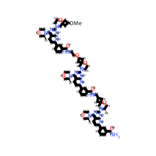 COC1CC2(C1)CN(c1nc(N3CCOC[C@@H]3C)c3ccc(-c4cccc(C(=O)NCCOC5CC6(C5)CN(c5nc(N7CCOC[C@@H]7C)c7ccc(-c8cccc(C(=O)NCC9CC%10(C9)CN(c9nc(N%11CCOC[C@@H]%11C)c%11ccc(-c%12cccc(C(N)=O)c%12)nc%11n9)[C@@H](C)CO%10)c8)nc7n5)CCO6)c4)nc3n1)CCO2